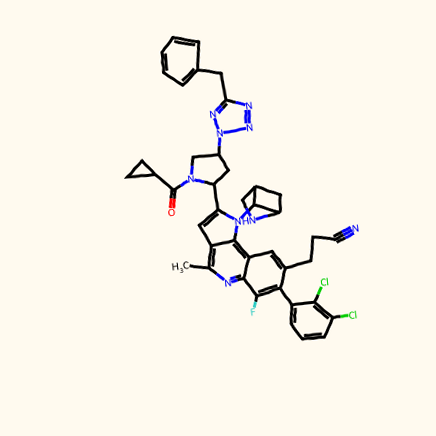 Cc1nc2c(F)c(-c3cccc(Cl)c3Cl)c(CCC#N)cc2c2c1cc(C1CC(n3nnc(Cc4ccccc4)n3)CN1C(=O)C1CC1)n2C1C2CNC1C2